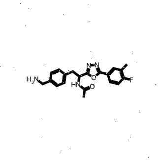 CC(=O)NC(Cc1ccc(CN)cc1)c1nnc(-c2ccc(F)c(C)c2)o1